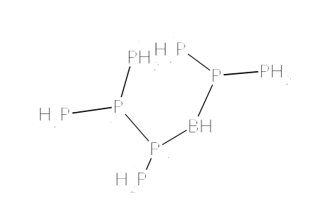 PP(P)BP(P)P(P)P